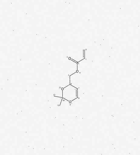 C=CC(=O)OCC1C=COC(C)(C)O1